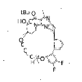 Cc1nc2nc3cn2c(c1[C@H](OC(C)(C)C)C(=O)O)N1CCC(C)(CC1)OCCCC[C@H](C)Oc1cc(F)c(F)cc1-c1cccc-3c1